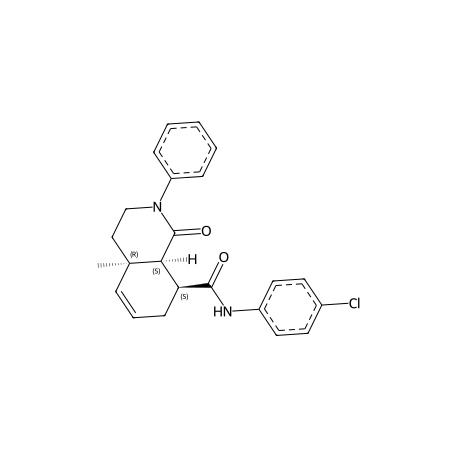 C[C@@]12C=CC[C@H](C(=O)Nc3ccc(Cl)cc3)[C@@H]1C(=O)N(c1ccccc1)CC2